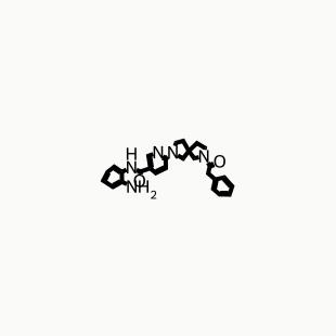 Nc1ccccc1NC(=O)c1ccc(N2CCC3(CCN(C(=O)Cc4ccccc4)C3)C2)nc1